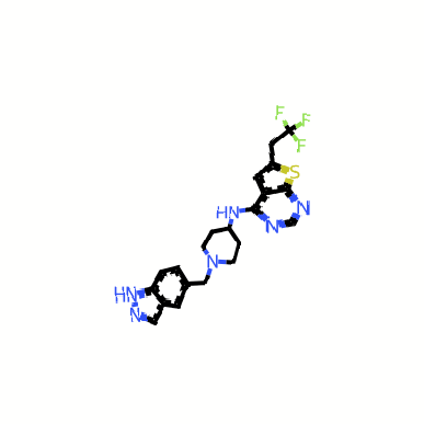 FC(F)(F)Cc1cc2c(NC3CCN(Cc4ccc5[nH]ncc5c4)CC3)ncnc2s1